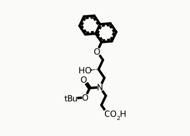 CC(C)(C)OC(=O)N(CCC(=O)O)C[C@H](O)COc1cccc2ccccc12